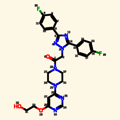 O=C(Cn1nc(-c2ccc(F)cc2)nc1-c1ccc(F)cc1)N1CCN(c2cc(OCCO)ncn2)CC1